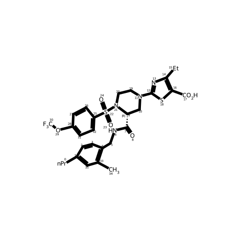 CCCc1ccc(CNC(=O)[C@H]2CN(c3nc(CC)c(C(=O)O)s3)CCN2S(=O)(=O)c2ccc(OC(F)(F)F)cc2)c(C)c1